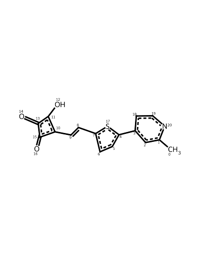 Cc1cc(-c2ccc(/C=C/c3c(O)c(=O)c3=O)s2)ccn1